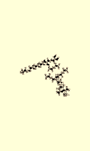 CCN(CC)C(=S)SSC(=S)N(CC)CC.CN(C)C(=S)SSC(=S)N(C)C.CN(C)C(=S)SSC(=S)NCCNC(=S)SSC(=S)N(C)C.CN(C)C(=S)[S-].CN(C)C(=S)[S-].CN(C)C(=S)[S-].CN(C)C(=S)[S][Zn][S]C(=S)N(C)C.CNC(=S)S.S=C([S-])NCCNC(=S)[S-].[Fe+3].[Na+].[Na+]